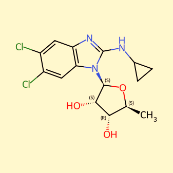 C[C@@H]1O[C@H](n2c(NC3CC3)nc3cc(Cl)c(Cl)cc32)[C@@H](O)[C@H]1O